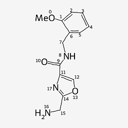 COc1ccccc1CNC(=O)c1coc(CN)n1